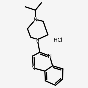 CC(C)N1CCN(c2cnc3ccccc3n2)CC1.Cl